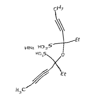 CC#CC(CC)(OC(C#CC)(CC)S(=O)(=O)O)S(=O)(=O)O.[NaH]